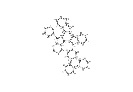 c1ccc(-n2c3ccccc3c3c4c(c5ccccc5n4-c4ccc5c6ccccc6c6ccccc6c5c4)c4sc5ncncc5c4c32)cc1